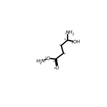 NOC(=O)CCC(N)O